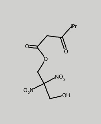 CC(C)C(=O)CC(=O)OCC(CO)([N+](=O)[O-])[N+](=O)[O-]